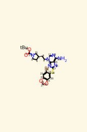 CC(C)(C)OC(=O)N1CC[C@H](CCn2cnc(N)c3nc(Sc4cc5c(cc4Br)OCO5)nc2-3)C1